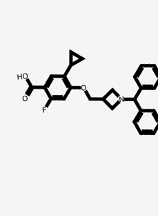 O=C(O)c1cc(C2CC2)c(OCC2CN(C(c3ccccc3)c3ccccc3)C2)cc1F